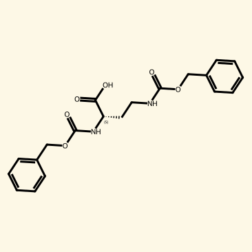 O=C(NCC[C@H](NC(=O)OCc1ccccc1)C(=O)O)OCc1ccccc1